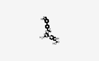 Nc1nc(O[C@H](c2ccc(-c3ccc4cn[nH]c4c3)cc2)C(F)(F)F)cc(N2CCC3(CC2)CN[C@H](C(=O)O)C3)n1